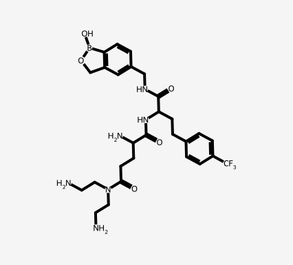 NCCN(CCN)C(=O)CCC(N)C(=O)NC(CCc1ccc(C(F)(F)F)cc1)C(=O)NCc1ccc2c(c1)COB2O